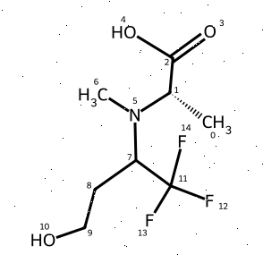 C[C@@H](C(=O)O)N(C)C(CCO)C(F)(F)F